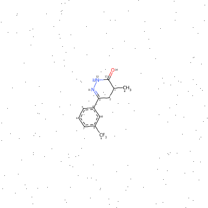 CC1CC(c2cccc(C(F)(F)F)c2)=NNC1=O